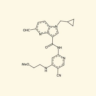 COCCNc1cc(NC(=O)c2cn(CC3CC3)c3ccc(C=O)nc23)ncc1C#N